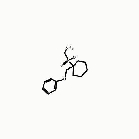 CCP(=O)(O)C1(COc2ccccc2)CCCCC1